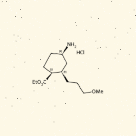 CCOC(=O)[C@H]1CC[C@@H](N)C[C@H]1CCCOC.Cl